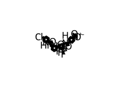 C[C@@]1(c2nc(NC(=O)c3ccc(Cl)cn3)ccc2F)C[C@@H](C(F)(F)F)N=C(NC(=O)c2ccc([N+](=O)[O-])cc2)O1